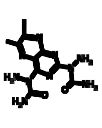 Cc1nc2nc(N(N)C(N)=O)nc(N(N)C(N)=O)c2nc1C